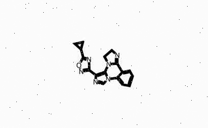 c1ccc2c(c1)C1=NCCN1c1c(-c3noc(C4CC4)n3)ncn1-2